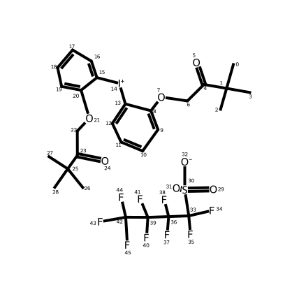 CC(C)(C)C(=O)COc1ccccc1[I+]c1ccccc1OCC(=O)C(C)(C)C.O=S(=O)([O-])C(F)(F)C(F)(F)C(F)(F)C(F)(F)F